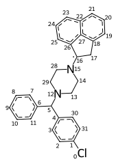 Clc1ccc(C(c2ccccc2)N2CCN([C]3Cc4cccc5cccc3c45)CC2)cc1